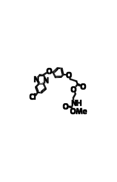 COC(=O)NCCOC(=O)CCOc1ccc(Oc2cnc3cc(Cl)ccc3n2)cc1